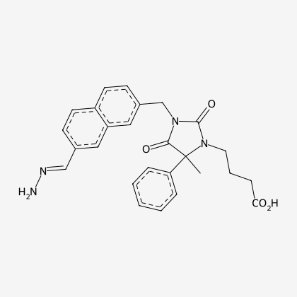 CC1(c2ccccc2)C(=O)N(Cc2ccc3ccc(C=NN)cc3c2)C(=O)N1CCCC(=O)O